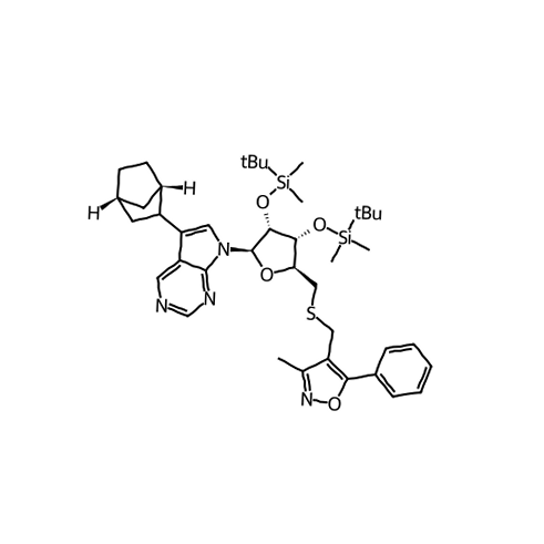 Cc1noc(-c2ccccc2)c1CSC[C@H]1O[C@@H](n2cc(C3C[C@@H]4CC[C@H]3C4)c3cncnc32)[C@H](O[Si](C)(C)C(C)(C)C)[C@@H]1O[Si](C)(C)C(C)(C)C